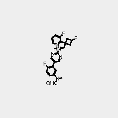 CN(C=O)c1ccc(F)c(-c2cnc(NCC3(c4ncccc4F)CC(F)C3)nc2)c1